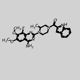 COc1cc2c(N)nc(N3CCN(C(=O)c4cc5ccccc5[nH]4)CC3C)nc2c(F)c1OC